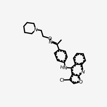 CC(=NOCCN1CCCCC1)c1ccc(Nc2c3ccccc3nc3occ(Cl)c23)cc1